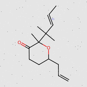 C=CCC1CCC(=O)C(C)(C(C)(C)/C=C/C)O1